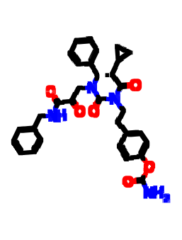 NC(=O)Oc1ccc(CCN(C(=O)[CH]C2CC2)C(=O)N(CC(=O)C(=O)NCc2ccccc2)Cc2ccccc2)cc1